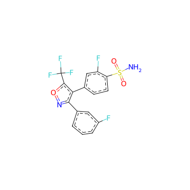 NS(=O)(=O)c1ccc(-c2c(-c3cccc(F)c3)noc2C(F)(F)F)cc1F